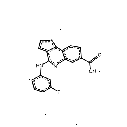 O=C(O)c1ccc2c(c1)nc(Nc1cccc(F)c1)c1ccsc12